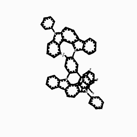 Fc1c(F)c(F)c(-c2cc(-n3c4ccccc4c4ccc5c(c6ccccc6n5-c5ccccc5)c43)c(C(F)(F)F)cc2-n2c3ccccc3c3ccc4c(c5ccccc5n4-c4ccccc4)c32)c(F)c1F